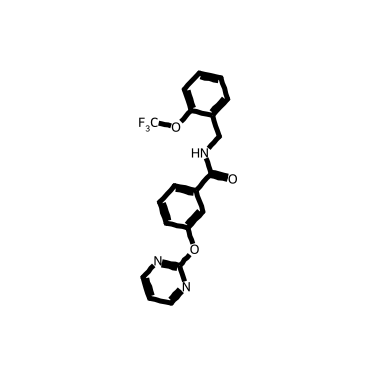 O=C(NCc1ccccc1OC(F)(F)F)c1cccc(Oc2ncccn2)c1